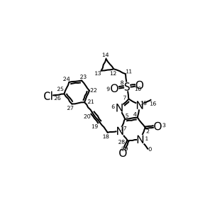 Cn1c(=O)c2c(nc(S(=O)(=O)CC3CC3)n2C)n(CC#Cc2cccc(Cl)c2)c1=O